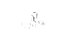 CC(=O)CC(C)(C)SC(SC(C)(C)CC(C)=O)c1ccccc1